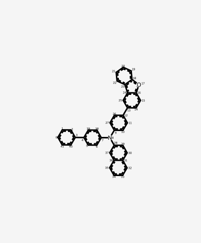 c1ccc(-c2ccc(N(c3ccc(-c4ccc5oc6ccccc6c5c4)cc3)c3ccc4ccccc4c3)cc2)cc1